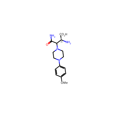 COc1ccc(N2CCN(C(C(N)=O)[C@H](N)C(=O)O)CC2)cc1